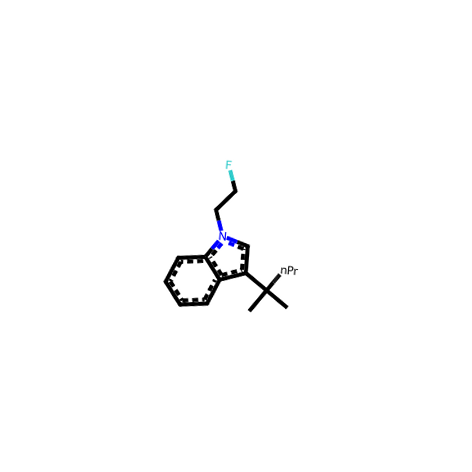 CCCC(C)(C)c1cn(CCF)c2ccccc12